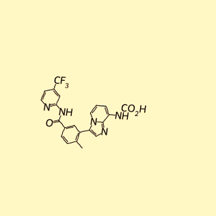 Cc1ccc(C(=O)Nc2cc(C(F)(F)F)ccn2)cc1-c1cnc2c(NC(=O)O)cccn12